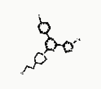 Cn1cc(-c2nc(-c3ccc(Cl)cc3)cc(N3CCC(CCO)CC3)n2)cn1